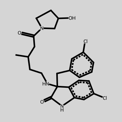 CC(CCNC1(Cc2cccc(Cl)c2)C(=O)Nc2cc(Cl)ccc21)CC(=O)N1CCC(O)C1